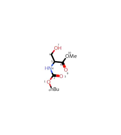 CCCCOC(=O)NC(CO)C(=O)OC